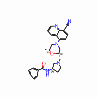 C[C@@H]1CN(c2ccc(C#N)c3ncccc23)C[C@H](CN2CC[C@@H](NC(=O)c3ccccc3)C2)O1